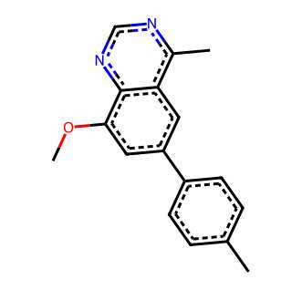 COc1cc(-c2ccc(C)cc2)cc2c(C)ncnc12